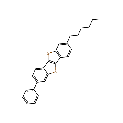 CCCCCCc1ccc2c(c1)sc1c3ccc(-c4ccccc4)cc3sc21